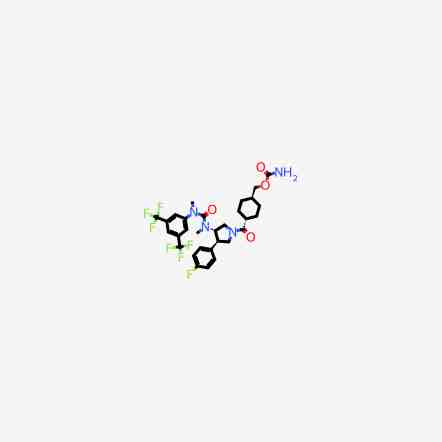 CN(C(=O)N(C)[C@@H]1CN(C(=O)[C@H]2CC[C@H](COC(N)=O)CC2)C[C@H]1c1ccc(F)cc1)c1cc(C(F)(F)F)cc(C(F)(F)F)c1